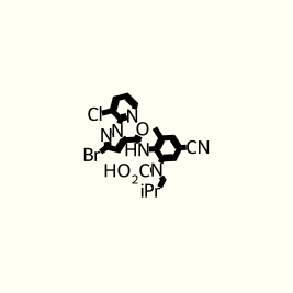 Cc1cc(C#N)cc(N(CC(C)C)C(=O)O)c1NC(=O)c1cc(Br)nn1-c1ncccc1Cl